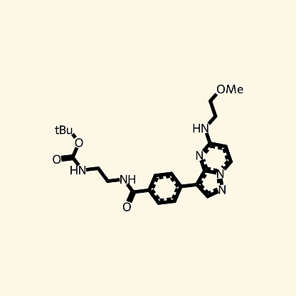 COCCNc1ccn2ncc(-c3ccc(C(=O)NCCNC(=O)OC(C)(C)C)cc3)c2n1